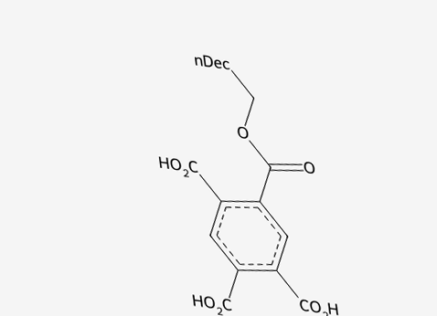 CCCCCCCCCCCOC(=O)c1cc(C(=O)O)c(C(=O)O)cc1C(=O)O